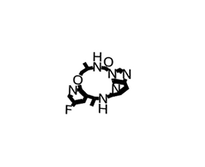 CC1COc2ncc(F)cc2C(C)Nc2ccc3ncn(c3n2)C(=O)N1